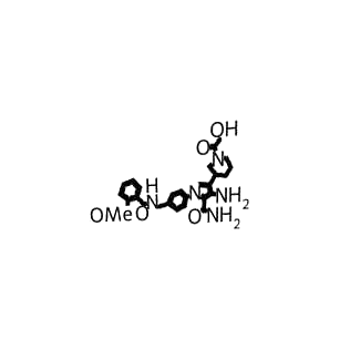 COc1ccccc1C(=O)NCc1ccc(-n2cc(C3CCCN(C(=O)CO)C3)c(N)c2C(N)=O)cc1